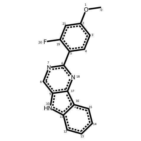 COc1ccc(-c2ncc3[nH]c4ccccc4c3n2)c(F)c1